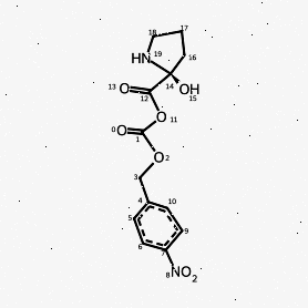 O=C(OCc1ccc([N+](=O)[O-])cc1)OC(=O)[C@@]1(O)CCCN1